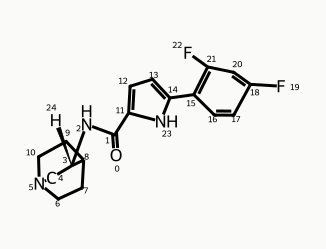 O=C(N[C@H]1CN2CCC1CC2)c1ccc(-c2ccc(F)cc2F)[nH]1